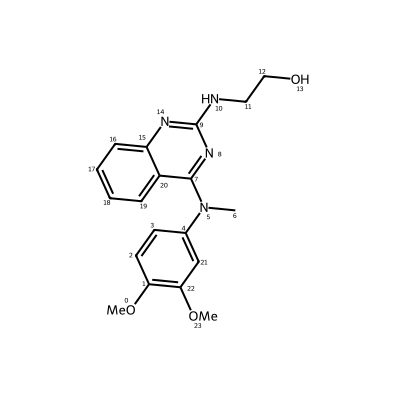 COc1ccc(N(C)c2nc(NCCO)nc3ccccc23)cc1OC